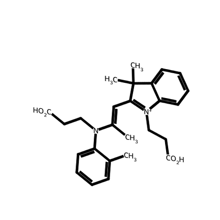 C/C(=C\C1=[N+](CCC(=O)O)c2ccccc2C1(C)C)N(CCC(=O)O)c1ccccc1C